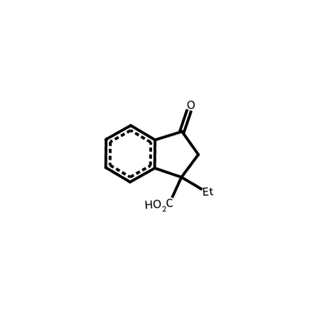 CCC1(C(=O)O)CC(=O)c2ccccc21